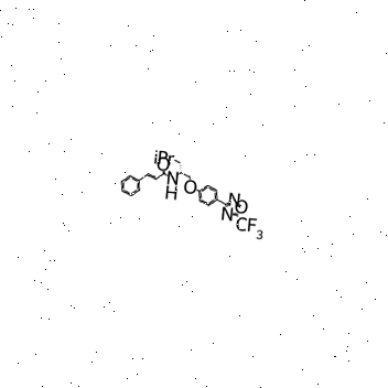 CC(C)C[C@H](COc1ccc(-c2noc(C(F)(F)F)n2)cc1)NC(=O)/C=C/c1ccccc1